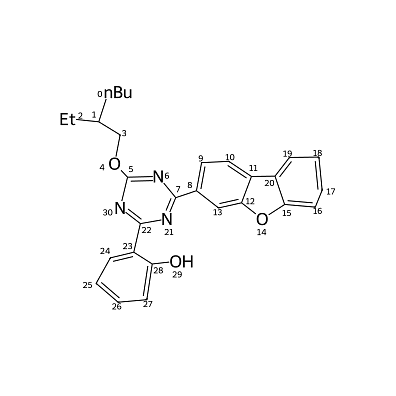 CCCCC(CC)COc1nc(-c2ccc3c(c2)oc2ccccc23)nc(-c2ccccc2O)n1